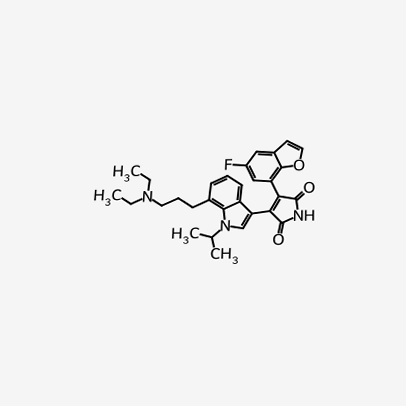 CCN(CC)CCCc1cccc2c(C3=C(c4cc(F)cc5ccoc45)C(=O)NC3=O)cn(C(C)C)c12